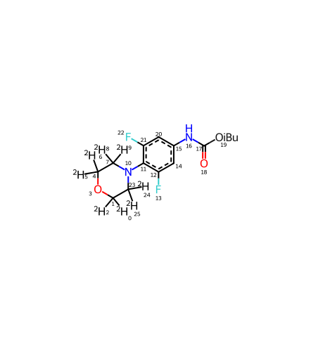 [2H]C1([2H])OC([2H])([2H])C([2H])([2H])N(c2c(F)cc(NC(=O)OCC(C)C)cc2F)C1([2H])[2H]